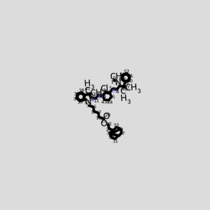 CC[N+]1=C(/C=C/C2=C(Cl)C(=C/C=C3/N(CCCCCC(=O)OCCC45CC6CC(CC(C6)C4)C5)c4ccccc4C3(C)C)/CCC2)C(C)(C)c2ccccc21